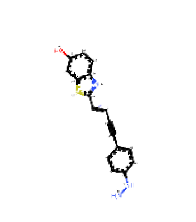 NNc1ccc(C#C/C=C/c2nc3ccc(O)cc3s2)cc1